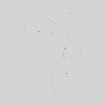 N#Cc1cn(-c2ccccc2)nc1Nc1ccc(CN2CCS(O)(O)CC2)cc1